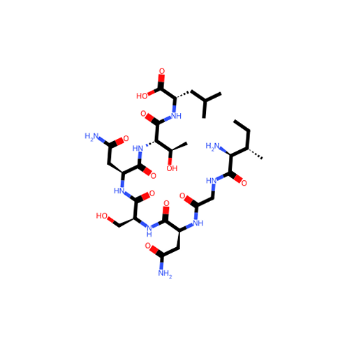 CC[C@H](C)[C@H](N)C(=O)NCC(=O)N[C@@H](CC(N)=O)C(=O)N[C@@H](CO)C(=O)N[C@@H](CC(N)=O)C(=O)N[C@H](C(=O)N[C@@H](CC(C)C)C(=O)O)[C@@H](C)O